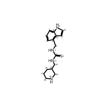 S=C(NCc1cccc2[nH]ccc12)NCC1CCCNC1